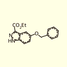 CCOC(=O)c1n[nH]c2ccc(OCc3ccccc3)cc12